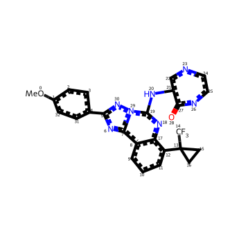 COc1ccc(-c2nc3c4cccc(C5(C(F)(F)F)CC5)c4nc(Nc4cnccnc4=O)n3n2)cc1